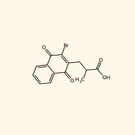 CC(CC1=C(Br)C(=O)c2ccccc2C1=O)C(=O)O